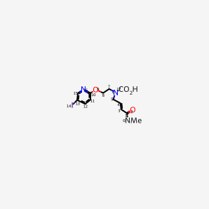 CNC(=O)C=CCN(CCOc1ccc(I)cn1)C(=O)O